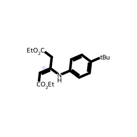 CCOC(=O)/C=C(/CC(=O)OCC)Nc1ccc(C(C)(C)C)cc1